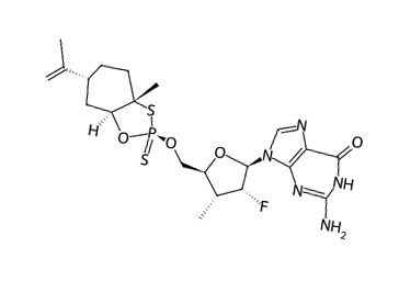 C=C(C)[C@@H]1CC[C@]2(C)S[P@@](=S)(OC[C@H]3O[C@@H](n4cnc5c(=O)[nH]c(N)nc54)[C@H](F)[C@@H]3C)O[C@H]2C1